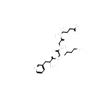 NCCCC[C@H](NC(=O)[C@@H](N)Cc1cccnc1)C(=O)NCC(=O)N[C@@H](CCC(N)=O)C(=O)O